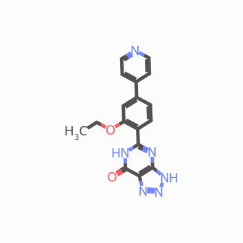 CCOc1cc(-c2ccncc2)ccc1-c1nc2[nH]nnc2c(=O)[nH]1